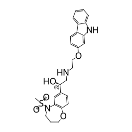 CS(=O)(=O)N1CCCOc2ccc([C@@H](O)CNCCOc3ccc4c(c3)[nH]c3ccccc34)cc21